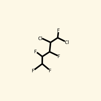 FC(F)C(F)C(F)C(Cl)C(F)Cl